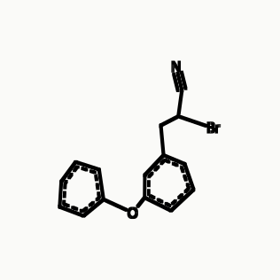 N#CC(Br)Cc1cccc(Oc2ccccc2)c1